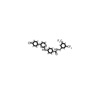 O=C(NCc1cc(C(F)(F)F)cc(C(F)(F)F)c1)c1ccc(Nc2nccc(-c3ccc(Cl)cc3)n2)cc1